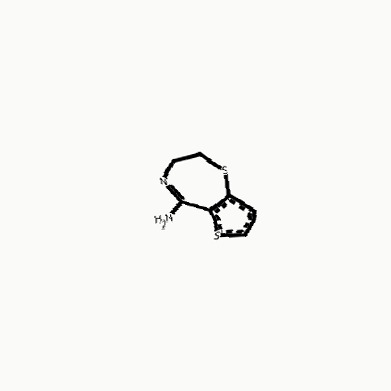 NC1=NCCSc2ccsc21